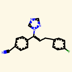 N#Cc1ccc(C(=CCc2ccc(F)cc2)n2cncn2)cc1